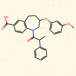 COc1cccc(OC2CCc3cc(C(=O)O)ccc3N(C(=O)C(C)c3ccccc3)C2)c1